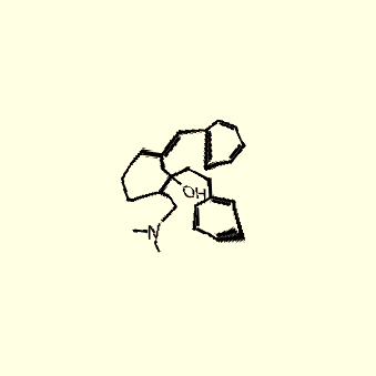 CN(C)CC1CCCC(=Cc2ccccc2)C1(O)CCc1ccccc1